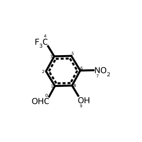 O=Cc1cc(C(F)(F)F)cc([N+](=O)[O-])c1O